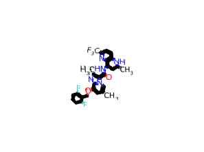 Cc1cc(OCc2c(F)cccc2F)c2nc(C)c(C(=O)NC3CC(C)Nc4ccc(C(F)(F)F)nc43)n2c1